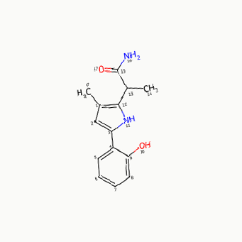 Cc1cc(-c2ccccc2O)[nH]c1C(C)C(N)=O